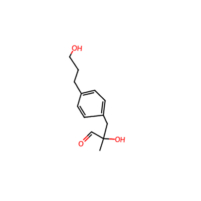 CC(O)(C=O)Cc1ccc(CCCO)cc1